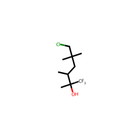 CC(CC(C)(C)CCl)C(C)(O)C(F)(F)F